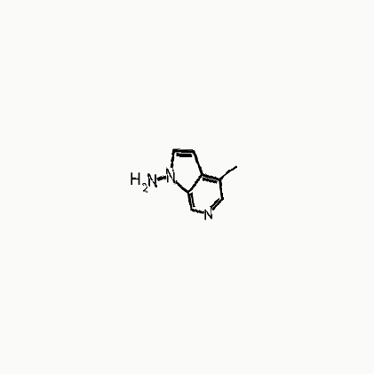 Cc1cncc2c1ccn2N